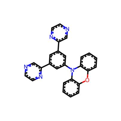 c1ccc2c(c1)Oc1ccccc1N2c1cc(-c2cnccn2)cc(-c2cnccn2)c1